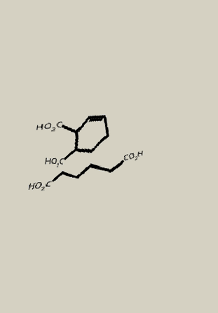 O=C(O)C1C=CCCC1C(=O)O.O=C(O)CCCCC(=O)O